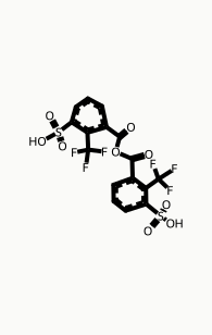 O=C(OC(=O)c1cccc(S(=O)(=O)O)c1C(F)(F)F)c1cccc(S(=O)(=O)O)c1C(F)(F)F